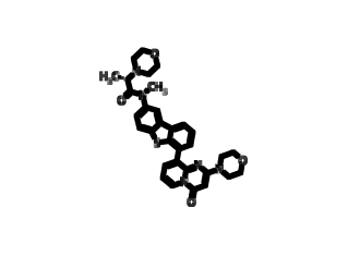 C[C@@H](C(=O)N(C)c1ccc2sc3c(-c4cccn5c(=O)cc(N6CCOCC6)nc45)cccc3c2c1)N1CCOCC1